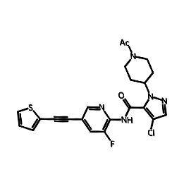 CC(=O)N1CCC(n2ncc(Cl)c2C(=O)Nc2ncc(C#Cc3cccs3)cc2F)CC1